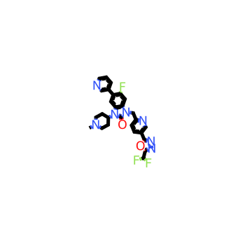 CN1CCC(n2c(=O)n(Cc3ccc(-c4nnc(C(F)F)o4)cn3)c3cc(F)c(-c4cccnc4)cc32)CC1